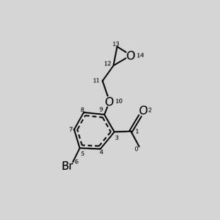 CC(=O)c1cc(Br)ccc1OCC1CO1